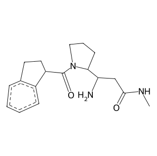 CNC(=O)CC(N)C1CCCN1C(=O)C1CCc2ccccc21